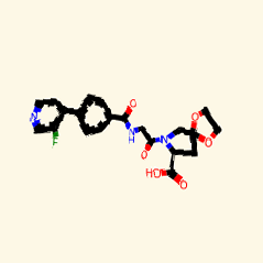 O=C(NCC(=O)N1CC2(C[C@H]1C(=O)O)OCCO2)c1ccc(-c2ccncc2F)cc1